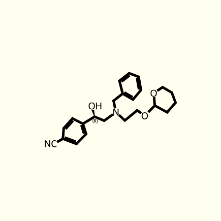 N#Cc1ccc([C@@H](O)CN(CCOC2CCCCO2)Cc2ccccc2)cc1